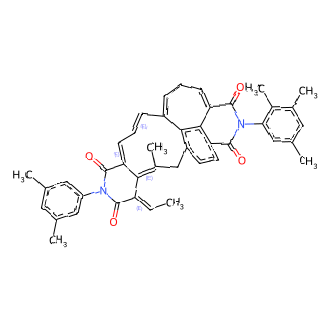 C/C=C1C(=O)N(c2cc(C)cc(C)c2)C(=O)/C2=C/C=C/C3=CCC=C4C(=O)N(c5cc(C)cc(C)c5C)C(=O)c5ccc(c3c54)C\C(C)=C/12